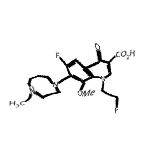 COc1c(N2CCN(C)CC2)c(F)cc2c(=O)c(C(=O)O)cn(CCF)c12